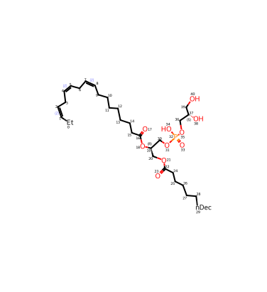 CC/C=C\C/C=C\C/C=C\CCCCCCCC(=O)O[C@H](COC(=O)CCCCCCCCCCCCCCC)COP(=O)(O)OC[C@@H](O)CO